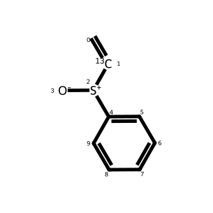 C=[13CH][S+]([O-])c1ccccc1